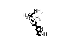 CC(C)(CCN)Oc1ncc(-c2cnc3[nH]ccc3c2)cn1